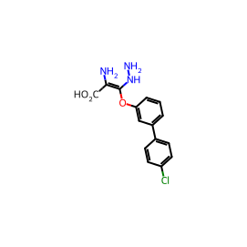 NN/C(Oc1cccc(-c2ccc(Cl)cc2)c1)=C(\N)C(=O)O